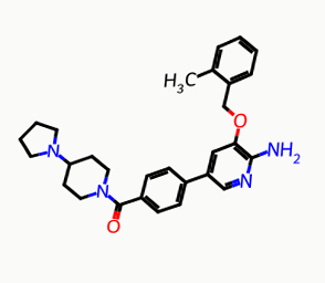 Cc1ccccc1COc1cc(-c2ccc(C(=O)N3CCC(N4CCCC4)CC3)cc2)cnc1N